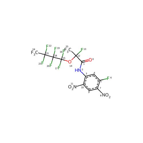 O=C(Nc1cc(F)c([N+](=O)[O-])cc1[N+](=O)[O-])C(F)(OC(F)(F)C(F)(F)C(F)(F)C(F)(F)F)C(F)(F)F